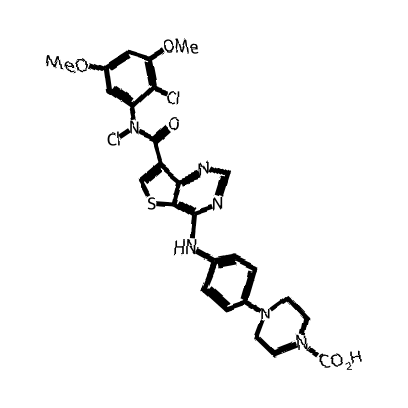 COc1cc(OC)c(Cl)c(N(Cl)C(=O)c2csc3c(Nc4ccc(N5CCN(C(=O)O)CC5)cc4)ncnc23)c1